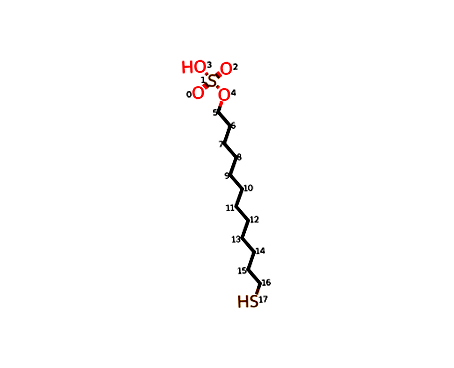 O=S(=O)(O)OCCCCCCCCCCCCS